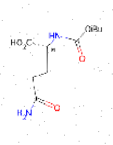 CC(C)COC(=O)N[C@H](CCC(N)=O)C(=O)O